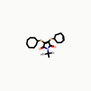 CCCC(C)(CC)N1C(=O)C(SC2CCC=CCC2)=C(SC2CCCCCCC2)C1=O